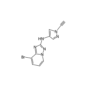 C#Cn1cc(Nc2nc3c(Br)cccn3n2)cn1